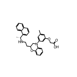 Cc1cc(OCC(=O)O)cc(N2CC(CCN[C@H](C)c3cccc4ccccc34)Oc3ccccc32)c1